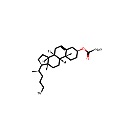 CCCCCCCCCC(=O)O[C@H]1CC[C@@]2(C)C(=CC[C@H]3[C@H]4CC[C@H]([C@H](C)CCCC(C)C)[C@@]4(C)CC[C@H]32)C1